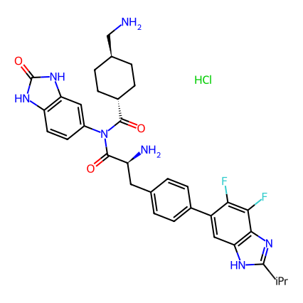 CC(C)c1nc2c(F)c(F)c(-c3ccc(C[C@H](N)C(=O)N(c4ccc5[nH]c(=O)[nH]c5c4)C(=O)[C@H]4CC[C@H](CN)CC4)cc3)cc2[nH]1.Cl